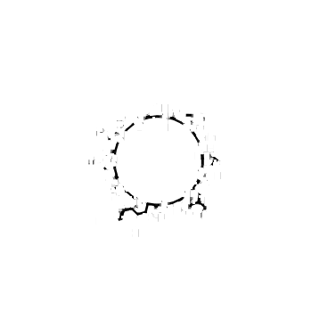 C/C=C/C[C@@H](C)[C@@H](O)[C@H]1C(=O)N[C@@H](CC)C(=O)N(C)[C@H](CC(CO)CO)C(=O)N(C)[C@@H](CC(C)(C)O)C(=O)N[C@@H](C(C)C)C(=O)N(C)[C@@H](CC(C)C)C(=O)N[C@@H](C)C(=O)N[C@H](C)C(=O)N(C)[C@@H](CC(C)C)C(=O)N(C)[C@@H](CC(C)C)C(=O)N(C)[C@@H](C(C)C)C(=O)N1C